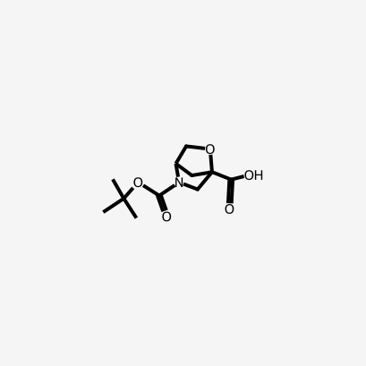 CC(C)(C)OC(=O)N1CC2(C(=O)O)CC1CO2